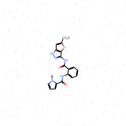 Cn1cccc1C(=O)Nc1ccccc1C(=O)Nc1n[nH]c2cc(C(=O)O)oc12